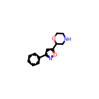 c1ccc(-c2cc(C3CNCCO3)on2)cc1